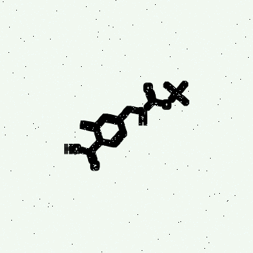 C=C1C=C(CNC(=O)OC(C)(C)C)C=CC1C(=O)O